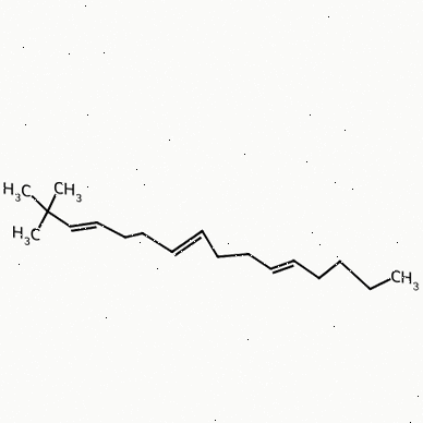 CCCCC=CCCC=CCCC=CC(C)(C)C